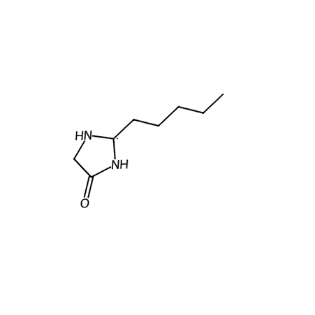 CCCCC[C]1NCC(=O)N1